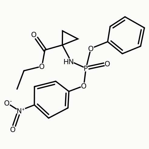 CCOC(=O)C1(NP(=O)(Oc2ccccc2)Oc2ccc([N+](=O)[O-])cc2)CC1